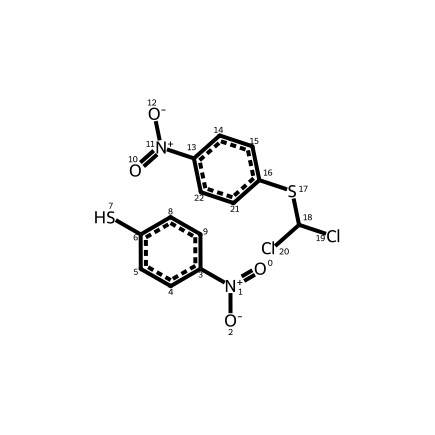 O=[N+]([O-])c1ccc(S)cc1.O=[N+]([O-])c1ccc(SC(Cl)Cl)cc1